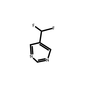 FC(F)c1cncnc1